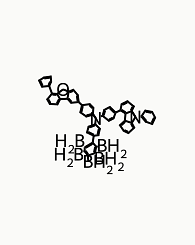 Bc1c(B)c(B)c(-c2ccc(N(c3ccc(-c4ccc5oc6c(-c7ccccc7)cccc6c5c4)cc3)c3ccc(-c4cccc5c4c4ccccc4n5-c4ccccc4)cc3)cc2)c(B)c1B